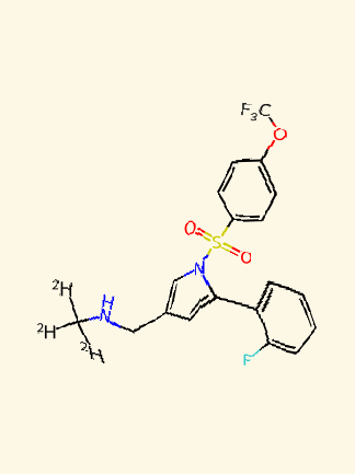 [2H]C([2H])([2H])NCc1cc(-c2ccccc2F)n(S(=O)(=O)c2ccc(OC(F)(F)F)cc2)c1